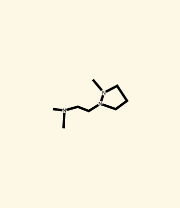 CN(C)CCN1CCCN1C